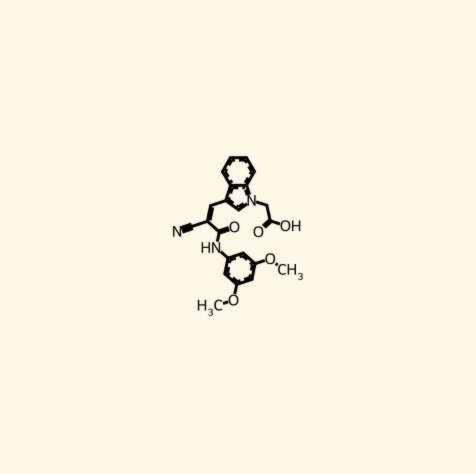 COc1cc(NC(=O)C(C#N)=Cc2cn(CC(=O)O)c3ccccc23)cc(OC)c1